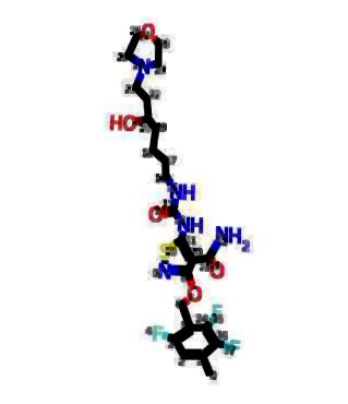 Cc1cc(F)c(COc2nsc(NC(=O)NCCCCC(O)CCN3CCOCC3)c2C(N)=O)c(F)c1F